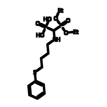 CCOP(=O)(OCC)C(NCCCCSc1ccccc1)P(=O)(O)O